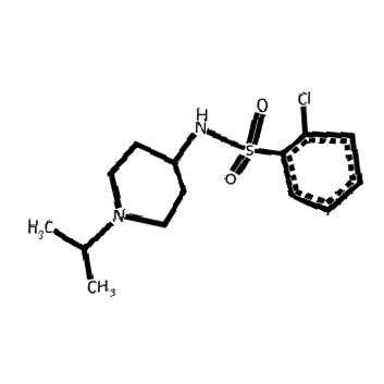 CC(C)N1CCC(NS(=O)(=O)c2c[c]ccc2Cl)CC1